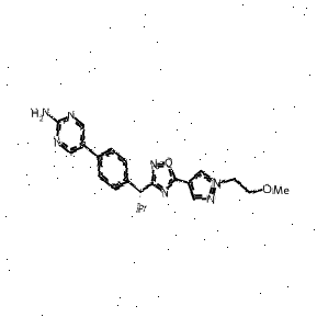 COCCn1cc(-c2nc([C@@H](c3ccc(-c4cnc(N)nc4)cc3)C(C)C)no2)cn1